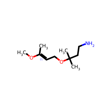 CO/C(C)=C/COC(C)(C)CCN